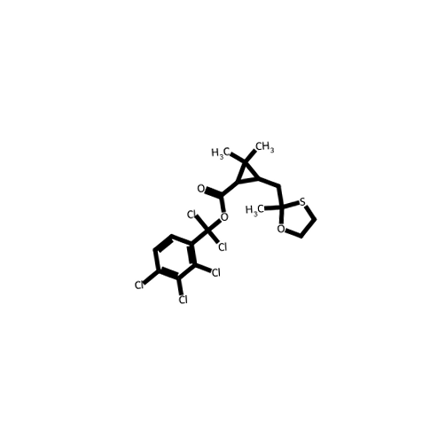 CC1(CC2C(C(=O)OC(Cl)(Cl)c3ccc(Cl)c(Cl)c3Cl)C2(C)C)OCCS1